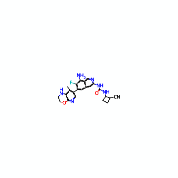 Cc1c(-c2cc3cc(NC(=O)NC4CCC4C#N)ncc3c(N)c2F)cnc2c1NCCO2